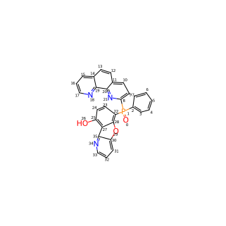 O=P(c1ccccc1)(c1ccc2ccc3cccnc3c2n1)c1ccc(O)c2c1oc1cccnc12